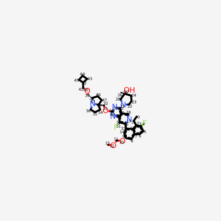 CCc1c(F)ccc2cc(OCOC)cc(-c3ncc4c(N5CCC[C@@](C)(O)C5)nc(OC[C@@]56CCCN5[C@H](COCC5CCC5)CC6)nc4c3F)c12